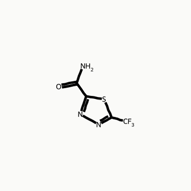 NC(=O)c1nnc(C(F)(F)F)s1